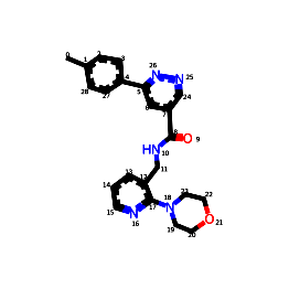 Cc1ccc(-c2cc(C(=O)NCc3cccnc3N3CCOCC3)cnn2)cc1